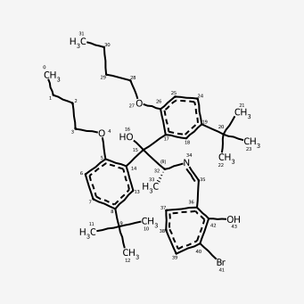 CCCCOc1ccc(C(C)(C)C)cc1C(O)(c1cc(C(C)(C)C)ccc1OCCCC)[C@@H](C)N=Cc1cccc(Br)c1O